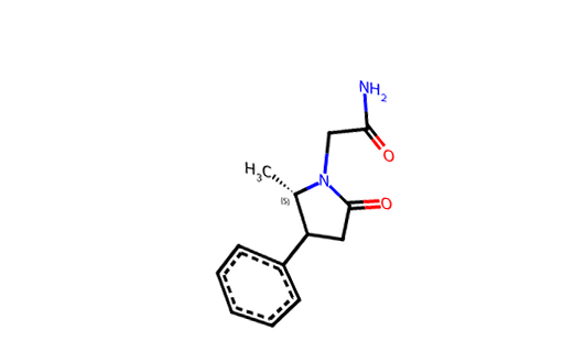 C[C@H]1C(c2ccccc2)CC(=O)N1CC(N)=O